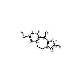 COc1ccc2c(c1)CCc1oc(C)nc1C2=O